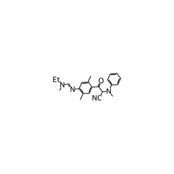 CCN(C)C=Nc1cc(C)c(C(=O)C(C#N)N(C)c2ccccc2)cc1C